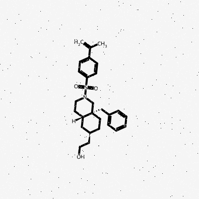 C=C(C)c1ccc(S(=O)(=O)N2CC[C@H]3C[C@H](CCO)CC[C@]3(Cc3ccccc3)C2)cc1